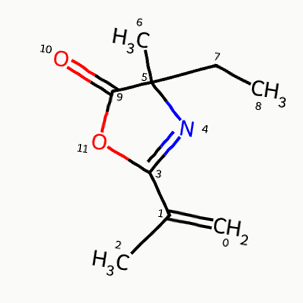 C=C(C)C1=NC(C)(CC)C(=O)O1